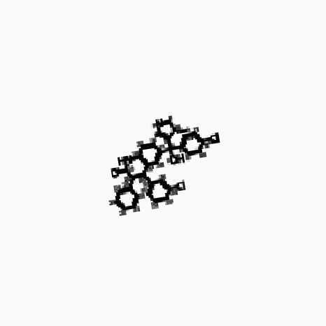 Cn1cncc1C(O)(c1ccc(Cl)cc1)c1ccc2[nH]c(=O)c(-c3ccccc3)c(-c3cccc(Cl)c3)c2c1